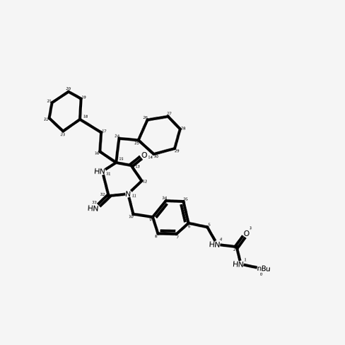 CCCCNC(=O)NCc1ccc(CN2CC(=O)C(CCC3CCCCC3)(CC3CCCCC3)NC2=N)cc1